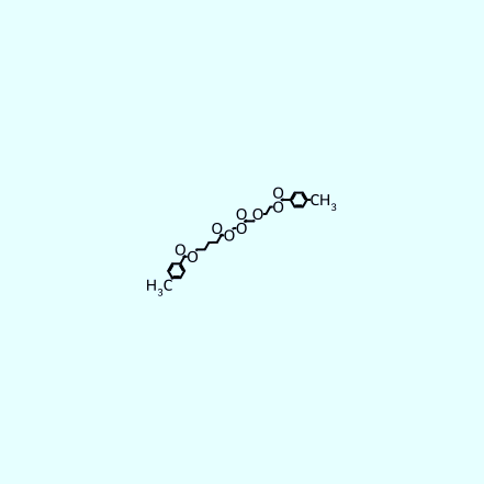 Cc1ccc(C(=O)OCCCCC(=O)OCOC(=O)COCCOC(=O)c2ccc(C)cc2)cc1